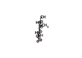 C#CCCCC(=O)NCCN(CCSCCC(=O)NCCNC(=O)OCC1c2ccccc2-c2ccccc21)C(=O)CC